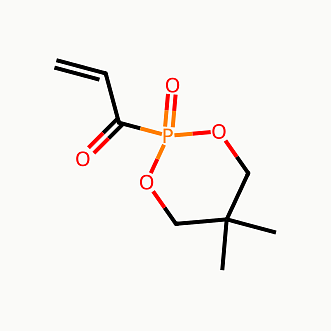 C=CC(=O)P1(=O)OCC(C)(C)CO1